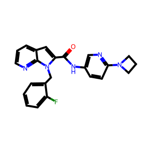 O=C(Nc1ccc(N2CCC2)nc1)c1cc2cccnc2n1Cc1ccccc1F